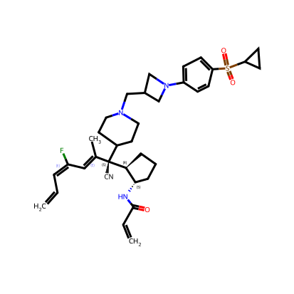 C=C/C=C(F)\C=C(/C)[C@](C#N)(C1CCN(CC2CN(c3ccc(S(=O)(=O)C4CC4)cc3)C2)CC1)[C@H]1CCC[C@@H]1NC(=O)C=C